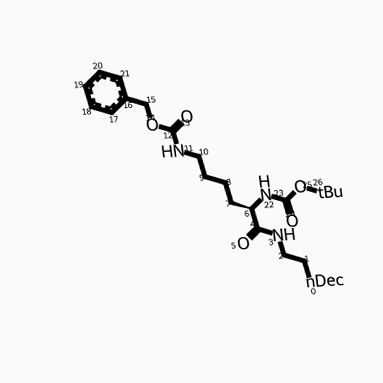 CCCCCCCCCCCCNC(=O)[C@@H](CCCCNC(=O)OCc1ccccc1)NC(=O)OC(C)(C)C